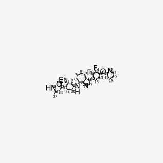 CCc1cc(Nc2ccccc3c(-c4ccc(Oc5ccccn5)c(F)c4F)cnc2-3)ccc1C(=O)CC(C)=N